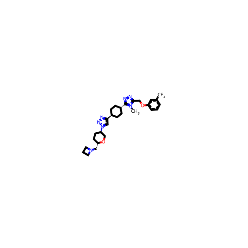 Cn1c(COc2cccc(C(F)(F)F)c2)nnc1[C@H]1CC[C@H](c2cn([C@@H]3CC[C@@H](CN4CCC4)OC3)nn2)CC1